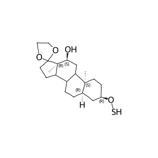 C[C@]12CC[C@@H](OS)C[C@H]1CCC1C2C[C@H](O)[C@@]2(C)C1CCC21OCCO1